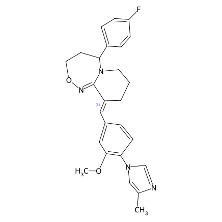 COc1cc(/C=C2\CCCN3C2=NOCCC3c2ccc(F)cc2)ccc1-n1cnc(C)c1